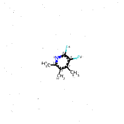 Cc1nc(F)c(F)c(C)c1C